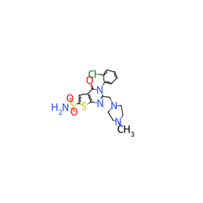 CN1CCN(Cc2nc3sc(S(N)(=O)=O)cc3c(=O)n2-c2ccccc2Cl)CC1